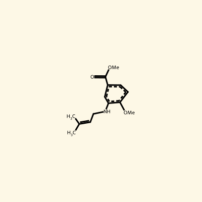 COC(=O)c1ccc(OC)c(NCC=C(C)C)c1